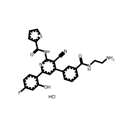 Cl.N#Cc1c(-c2cccc(C(=O)NCCN)c2)cc(-c2ccc(F)cc2O)nc1NC(=O)c1cccs1